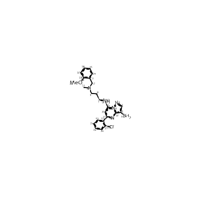 Bc1cnn2c(NCCCN(C)Cc3ccccc3OC)cc(-c3ccccc3Cl)nc12